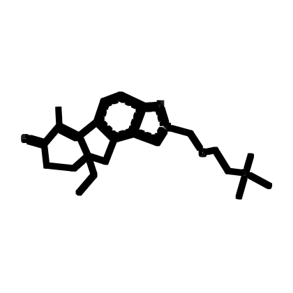 CCC12CCC(=O)C(C)=C1c1ccc3nn(COCC[Si](C)(C)C)cc3c1C2